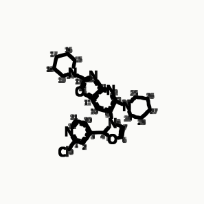 Clc1cc(C2OC=CN2c2cc3oc(N4CCCCC4)nc3nc2N2CCCCC2)ccn1